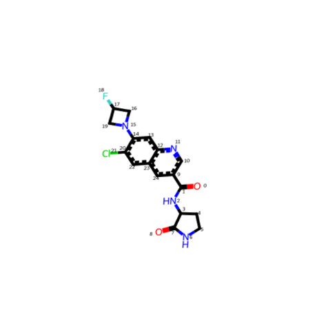 O=C(NC1CCNC1=O)c1cnc2cc(N3CC(F)C3)c(Cl)cc2c1